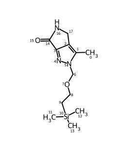 Cc1c2c(nn1COCC[Si](C)(C)C)C(=O)NC2